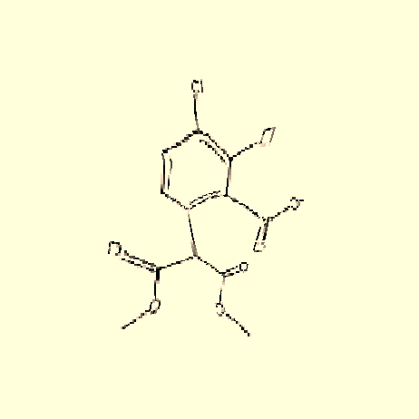 COC(=O)C(C(=O)OC)c1ccc(Cl)c(Cl)c1[N+](=O)[O-]